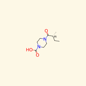 CC[C@@H](C)C(=O)N1CCN(C(=O)O)CC1